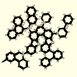 Cc1ccc2c(c1)=C1C=CC=CC1N(c1ccc3oc4c(cc(N(c5ccc6ccccc6c5)c5cc6ccccc6c6ccccc56)c5cc(N6C=CC=CC6)c6cc(N7C=CC=C(c8ccccc8)C7)c7oc8c(-c9ccccc9-c9ccccc9)cccc8c7c6c54)c3c1)C=2